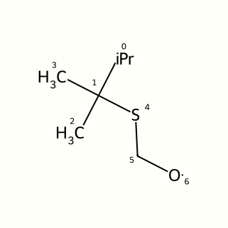 CC(C)C(C)(C)SC[O]